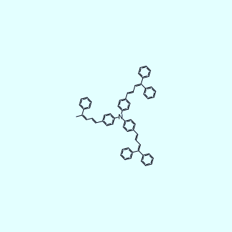 CC(=CC=Cc1ccc(N(c2ccc(C=CC=C(c3ccccc3)c3ccccc3)cc2)c2ccc(C=CC=C(c3ccccc3)c3ccccc3)cc2)cc1)c1ccccc1